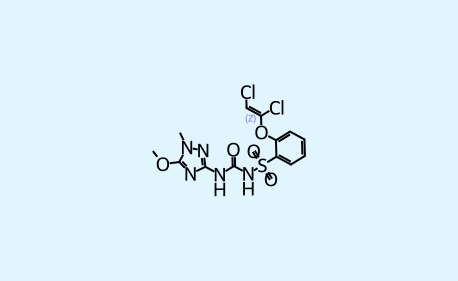 COc1nc(NC(=O)NS(=O)(=O)c2ccccc2O/C(Cl)=C/Cl)nn1C